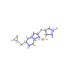 Cn1cc(Cc2cn3cc(CC4CC4)ncc3n2)c(Br)n1